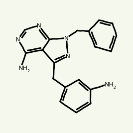 Nc1cccc(Cc2nn(Cc3ccccc3)c3ncnc(N)c23)c1